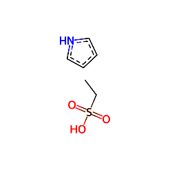 CCS(=O)(=O)O.c1cc[nH]c1